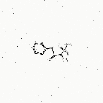 C=C(C(=O)Oc1ccccc1)S(N)(=O)=O